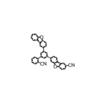 N#Cc1ccc2oc3cc(-c4cc(-c5ccc6oc7ccccc7c6c5)cc(-c5ccccc5C#N)c4)ccc3c2c1